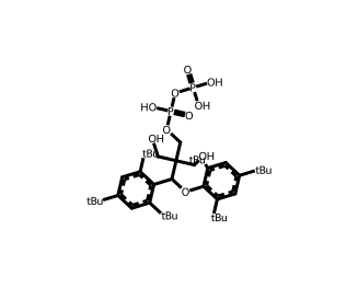 CC(C)(C)c1cc(C(C)(C)C)c(OC(c2c(C(C)(C)C)cc(C(C)(C)C)cc2C(C)(C)C)C(CO)(CO)COP(=O)(O)OP(=O)(O)O)c(C(C)(C)C)c1